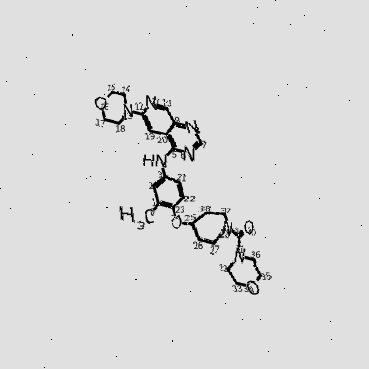 Cc1cc(Nc2ncnc3cnc(N4CCOCC4)cc23)ccc1OC1CCN(C(=O)N2CCOCC2)CC1